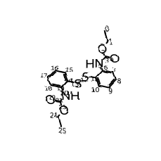 CCOC(=O)Nc1ccccc1SSc1ccccc1NC(=O)OCC